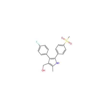 Cc1[nH]c(-c2ccc(S(C)(=O)=O)cc2)c(-c2ccc(F)cc2)c1CO